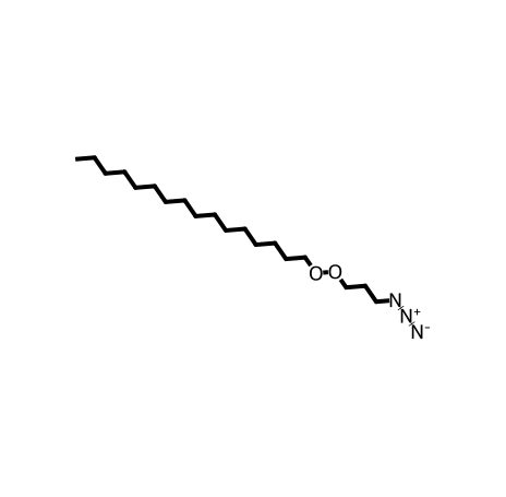 CCCCCCCCCCCCCCCCOOCCCN=[N+]=[N-]